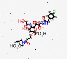 C#CCN(CC(=O)O)C(=O)CCCO[C@]1(C(=O)O)C[C@H](O)[C@@H](NC(=O)CO)[C@H]([C@H](O)[C@H](O)CNC(=O)Cc2ccc(Cl)cc2)O1